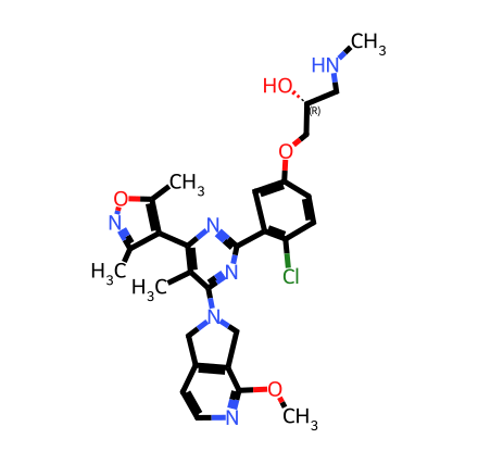 CNC[C@@H](O)COc1ccc(Cl)c(-c2nc(-c3c(C)noc3C)c(C)c(N3Cc4ccnc(OC)c4C3)n2)c1